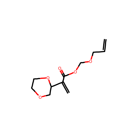 C=CCOCOC(=O)C(=C)C1COCCO1